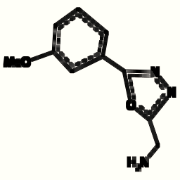 COc1cccc(-c2nnc(CN)o2)c1